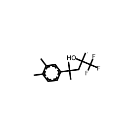 [CH2]C(O)(CC(C)(C)c1ccc(C)c(C)c1)C(F)(F)F